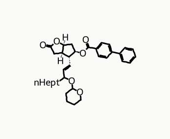 CCCCCCCC(C=C[C@@H]1[C@H]2CC(=O)O[C@H]2C[C@H]1OC(=O)c1ccc(-c2ccccc2)cc1)OC1CCCCO1